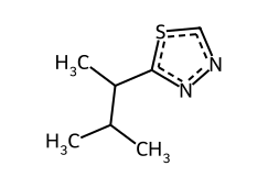 CC(C)C(C)c1nncs1